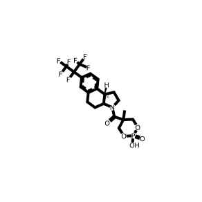 CC1(C(=O)N2CC[C@H]3c4ccc(C(F)(C(F)(F)F)C(F)(F)F)cc4CCC32)COP(=O)(O)OC1